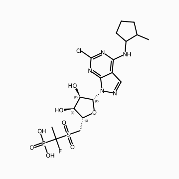 CC1CCCC1Nc1nc(Cl)nc2c1cnn2[C@@H]1O[C@H](CS(=O)(=O)C(C)(F)P(=O)(O)O)[C@@H](O)[C@H]1O